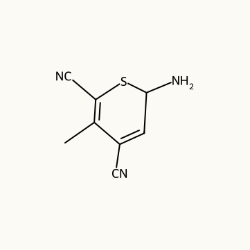 CC1=C(C#N)SC(N)C=C1C#N